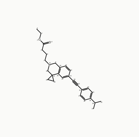 CCOC(=O)CCCN1Cc2ccc(C#Cc3ccc(C(C)C)cc3)cc2C2(CC2)C1